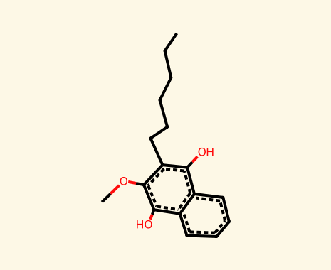 CCCCCCc1c(OC)c(O)c2ccccc2c1O